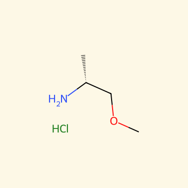 COC[C@@H](C)N.Cl